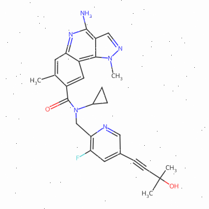 Cc1cc2nc(N)c3cnn(C)c3c2cc1C(=O)N(Cc1ncc(C#CC(C)(C)O)cc1F)C1CC1